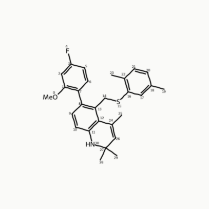 COc1cc(F)ccc1-c1ccc2c(c1CSc1cc(C)ccc1C)C(C)=CC(C)(C)N2